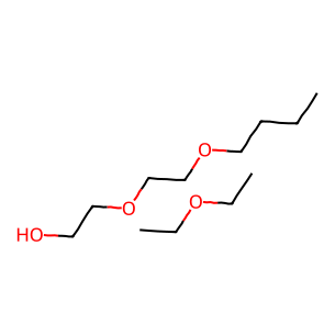 CCCCOCCOCCO.CCOCC